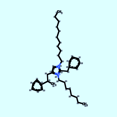 CCCCCCCCCCCn1cc(CC(C)c2ccccc2)[n+](CCCCCCCC)c1Cc1ccccc1